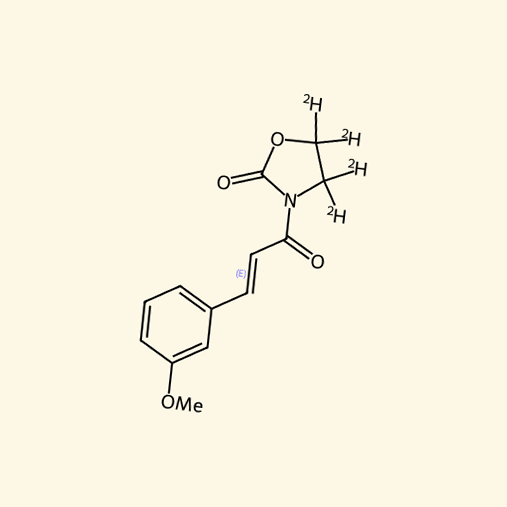 [2H]C1([2H])OC(=O)N(C(=O)/C=C/c2cccc(OC)c2)C1([2H])[2H]